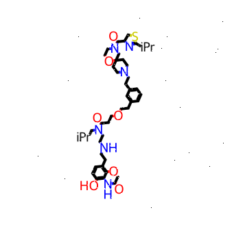 CC(C)CN(CCNCCc1ccc(O)c2c1OCC(=O)N2)C(=O)CCOCCc1cccc(CCN2CCC3(CC2)CN(C(=O)C2CSC(C(C)C)=N2)CCO3)c1